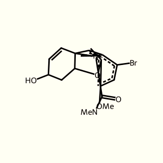 CNC(=O)N1CCC23C=CC(O)CC2Oc2c(OC)cc(Br)c(c23)C1